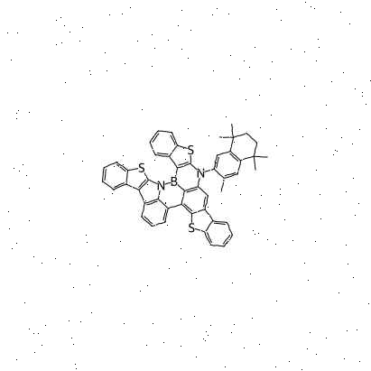 Cc1cc2c(cc1N1c3cc4c(sc5ccccc54)c4c3B(c3c1sc1ccccc31)n1c3sc5ccccc5c3c3cccc-4c31)C(C)(C)CCC2(C)C